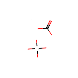 O=C([O-])[O-].[Al+3].[O-][Si](O)(O)O